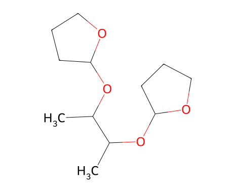 CC(OC1CCCO1)C(C)OC1CCCO1